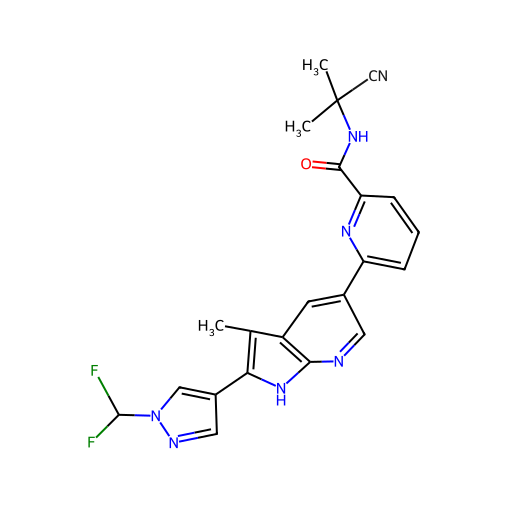 Cc1c(-c2cnn(C(F)F)c2)[nH]c2ncc(-c3cccc(C(=O)NC(C)(C)C#N)n3)cc12